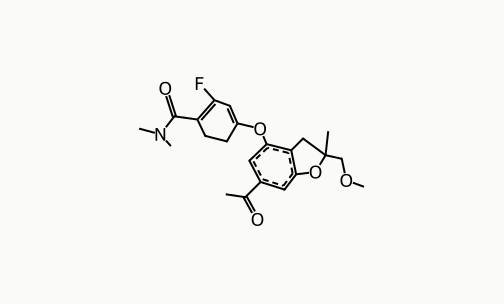 COCC1(C)Cc2c(OC3=CC(F)=C(C(=O)N(C)C)CC3)cc(C(C)=O)cc2O1